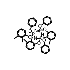 Cc1cccc(OP2(Oc3ccccc3)=NP(Oc3ccccc3)(Oc3cccc(C)c3C)=NP(Oc3ccccc3)(Oc3cccc(C)c3C)=N2)c1C